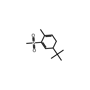 CC1=CCC(C(C)(C)C)C=C1S(C)(=O)=O